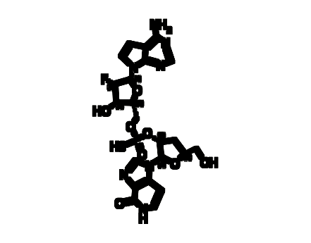 Nc1ncnc2c1ccn2[C@@H]1O[C@H](COP(=O)(S)O[C@@H]2C[C@@H](CO)O[C@H]2n2cnc3c(=O)[nH]ccc32)[C@@H](O)[C@@H]1F